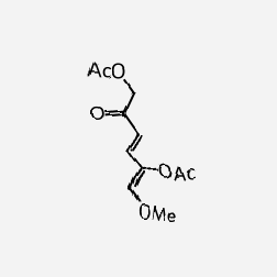 CO/C=C(/C=C/C(=O)COC(C)=O)OC(C)=O